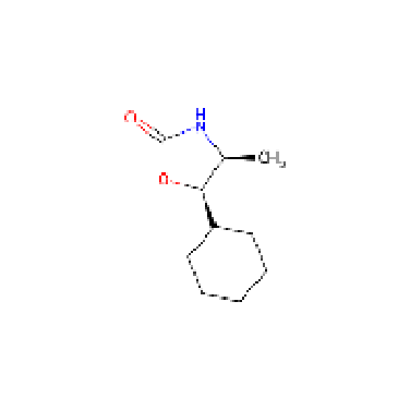 C[C@@H]1NC(=O)O[C@@H]1C1CCCCC1